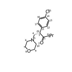 CC(C)C(=O)[C@H](CN1CCOCC1)c1ccc(Cl)cc1